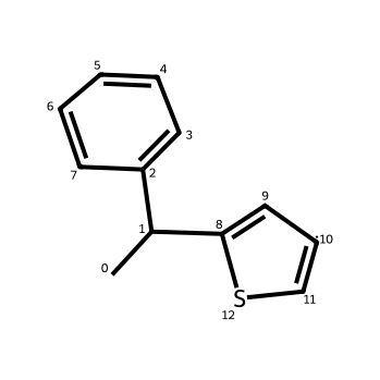 CC(c1ccccc1)c1c[c]cs1